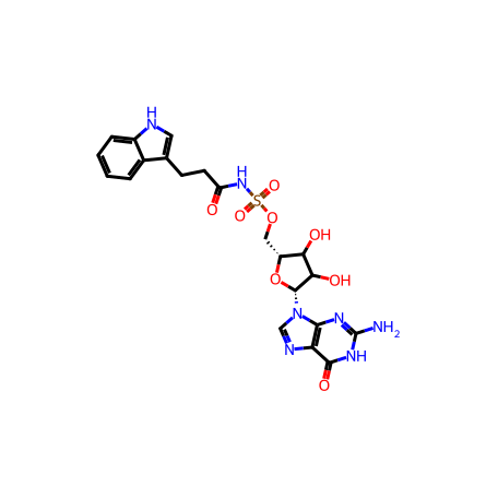 Nc1nc2c(ncn2[C@@H]2O[C@H](COS(=O)(=O)NC(=O)CCc3c[nH]c4ccccc34)C(O)C2O)c(=O)[nH]1